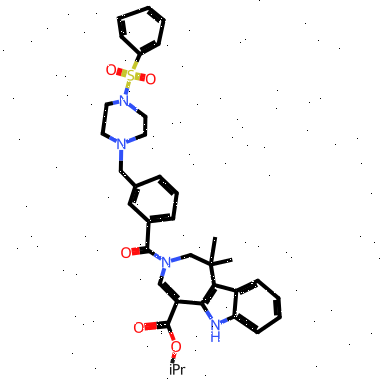 CC(C)OC(=O)C1=CN(C(=O)c2cccc(CN3CCN(S(=O)(=O)c4ccccc4)CC3)c2)CC(C)(C)c2c1[nH]c1ccccc21